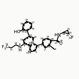 Cc1cc(-c2cnc3c(NCCC(F)(F)F)cc(-c4ccccc4O)cn23)ccc1C(=O)NC1C[C@@H]1F